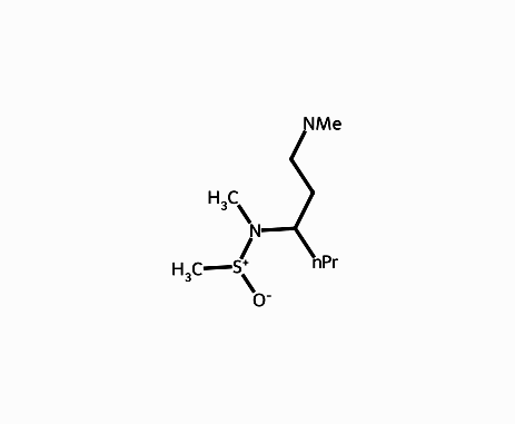 CCCC(CCNC)N(C)[S+](C)[O-]